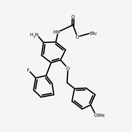 COc1ccc(COc2cc(NC(=O)OC(C)(C)C)c(N)cc2-c2ccccc2F)cc1